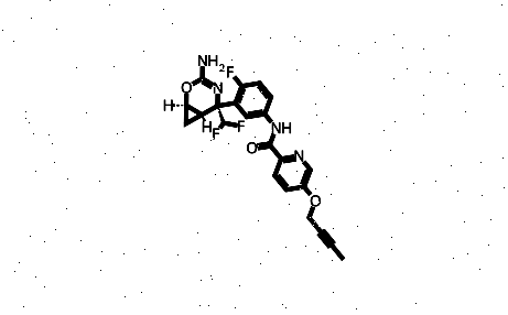 CC#CCOc1ccc(C(=O)Nc2ccc(F)c([C@@]3(C(F)F)N=C(N)O[C@@H]4C[C@@H]43)c2)nc1